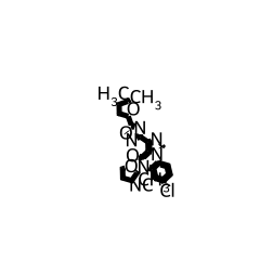 CC1(C)CCC(c2nc(-c3ncn4c3c(=O)n(C3(C)CCCO3)c3c(C#N)c(Cl)ccc34)no2)O1